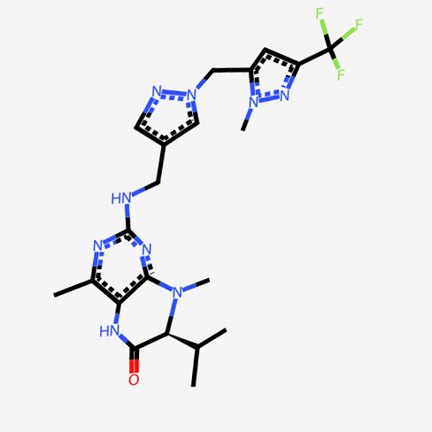 Cc1nc(NCc2cnn(Cc3cc(C(F)(F)F)nn3C)c2)nc2c1NC(=O)[C@H](C(C)C)N2C